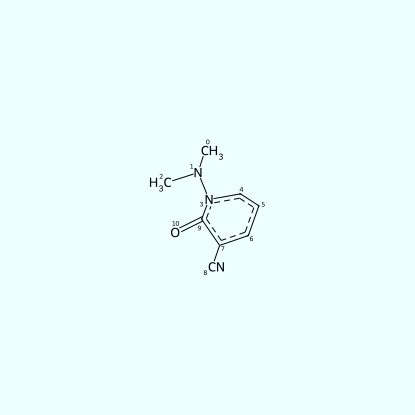 CN(C)n1cccc(C#N)c1=O